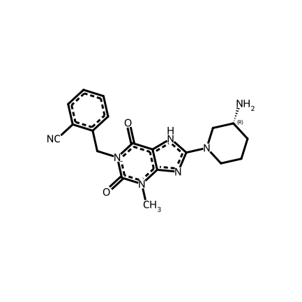 Cn1c(=O)n(Cc2ccccc2C#N)c(=O)c2[nH]c(N3CCC[C@@H](N)C3)nc21